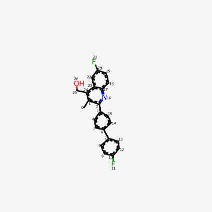 Cc1c(-c2ccc(-c3ccc(F)cc3)cc2)nc2ccc(F)cc2c1CO